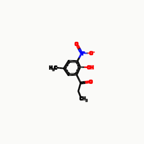 CCC(=O)c1cc(C)cc([N+](=O)[O-])c1O